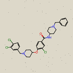 O=C(NC1CCN(Cc2ccccc2)CC1)c1ccc(OC2CCN(Cc3ccc(Cl)c(Cl)c3)CC2)c(Cl)c1